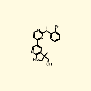 CCc1ccccc1Nc1nccc(-c2cnc3c(c2)C(C)(CO)CN3)n1